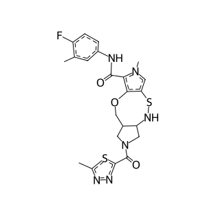 Cc1nnc(C(=O)N2CC3COc4c(cn(C)c4C(=O)Nc4ccc(F)c(C)c4)SNC3C2)s1